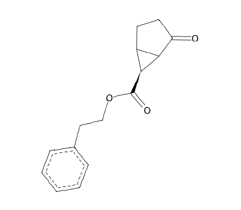 O=C1CCC2C1[C@H]2C(=O)OCCc1ccccc1